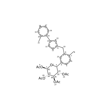 CC(=O)O[C@H]1OC(c2ccc(C)c(Cc3ccc(-c4ccccc4C)s3)c2)[C@H](OC(C)=O)[C@@H](OC(C)=O)[C@@H]1OC(C)=O